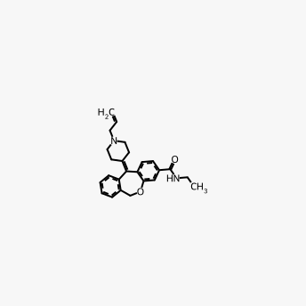 C=CCN1CCC(=C2c3ccccc3COc3cc(C(=O)NCC)ccc32)CC1